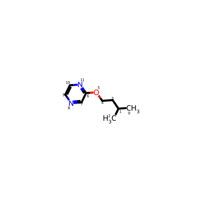 CC(C)CCOc1cnccn1